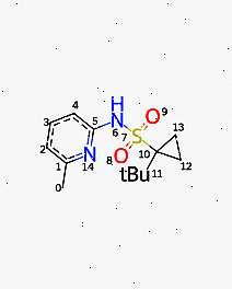 Cc1cccc(NS(=O)(=O)C2(C(C)(C)C)CC2)n1